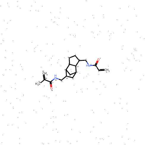 C=CC(=O)NCC1CCC2C3CC(CC3CNC(=O)C(=C)C)C12